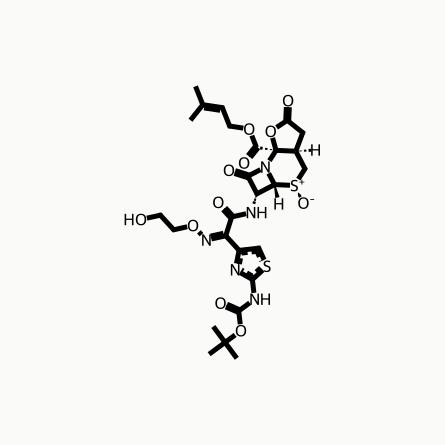 CC(C)=CCOC(=O)[C@]12OC(=O)C[C@H]1C[S@+]([O-])[C@@H]1[C@H](NC(=O)/C(=N\OCCO)c3csc(NC(=O)OC(C)(C)C)n3)C(=O)N12